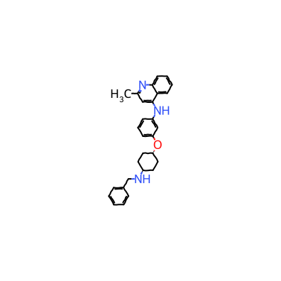 Cc1cc(Nc2cccc(O[C@H]3CC[C@H](NCc4ccccc4)CC3)c2)c2ccccc2n1